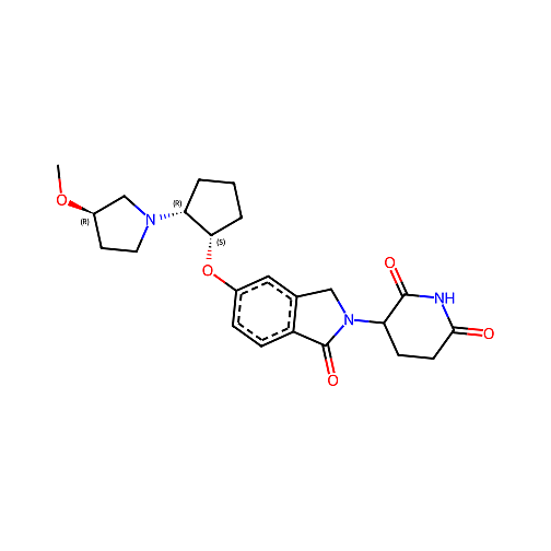 CO[C@@H]1CCN([C@@H]2CCC[C@@H]2Oc2ccc3c(c2)CN(C2CCC(=O)NC2=O)C3=O)C1